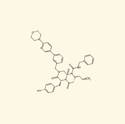 C=CCN1CC(=O)N2[C@@H](Cc3ccc(O)cc3)C(=O)N(Cc3cccc(-c4ccc(N5CCOCC5)nc4)c3)C[C@@H]2N1C(=O)NCc1ccccc1